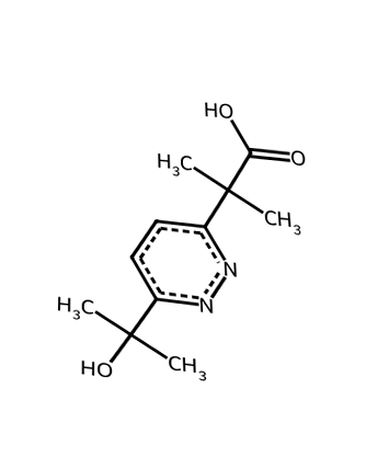 CC(C)(O)c1ccc(C(C)(C)C(=O)O)nn1